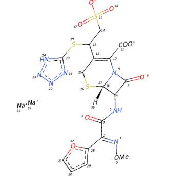 CON=C(C(=O)NC1C(=O)N2C(C(=O)[O-])=C(C(CS(=O)(=O)[O-])Sc3nnn[nH]3)CS[C@@H]12)c1ccco1.[Na+].[Na+]